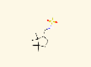 CC1(C)CC[C@H](CNS(C)(=O)=O)C1(C)C